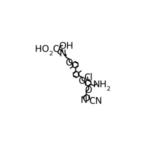 Cc1c(COc2cc(OCc3cncc(C#N)c3)c(CN)cc2Cl)cccc1-c1cccc(OCCCN2CCC(CO)(C(=O)O)C2)c1C